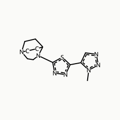 Cn1nncc1-c1nnc(N2CCN3CCC2CC3)s1